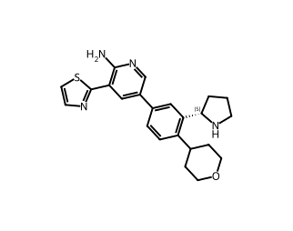 Nc1ncc(-c2ccc(C3CCOCC3)c([C@@H]3CCCN3)c2)cc1-c1nccs1